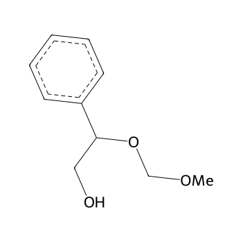 COCOC(CO)c1ccccc1